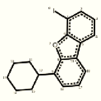 Ic1cccc2c1oc1c(C3CCCCC3)cccc12